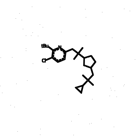 CC(C)(C)c1nc(CC(C)(C)C2CCC(CC(C)(C)C3CC3)C2)ccc1Cl